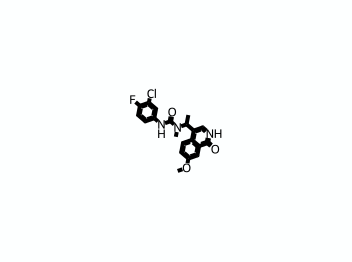 COc1ccc2c(C(C)N(C)C(=O)Nc3ccc(F)c(Cl)c3)c[nH]c(=O)c2c1